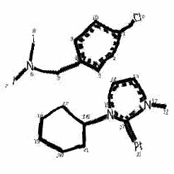 Clc1ccc(CN(I)I)cc1.Cn1ccn(C2CCCCC2)[c]1=[Pt]